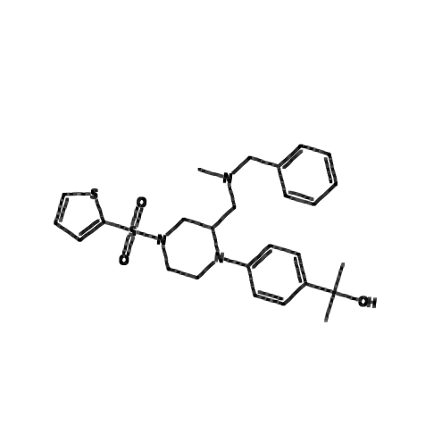 CN(Cc1ccccc1)CC1CN(S(=O)(=O)c2cccs2)CCN1c1ccc(C(C)(C)O)cc1